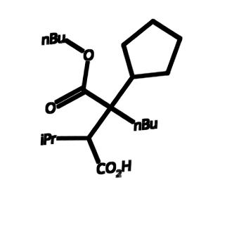 CCCCOC(=O)C(CCCC)(C1CCCC1)C(C(=O)O)C(C)C